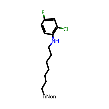 CCCCCCCCCCCCCCCCNc1ccc(F)cc1Cl